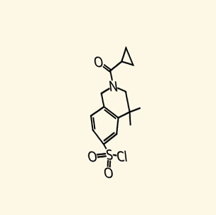 CC1(C)CN(C(=O)C2CC2)Cc2ccc(S(=O)(=O)Cl)cc21